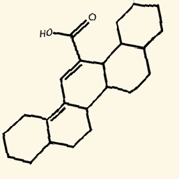 O=C(O)C1=CC2=C3CCCCC3CCC2C2CCC3CCCCC3C12